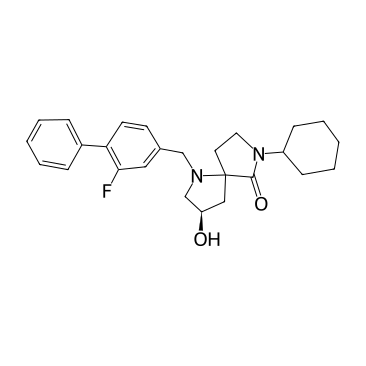 O=C1N(C2CCCCC2)CCC12C[C@@H](O)CN2Cc1ccc(-c2ccccc2)c(F)c1